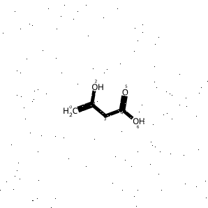 C=C(O)CC(=O)O